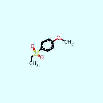 CCS(=O)(=O)c1ccc(OC)cc1